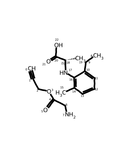 C#CCOC(=O)CN.CCc1cccc(C)c1N[C@@H](C)C(=O)O